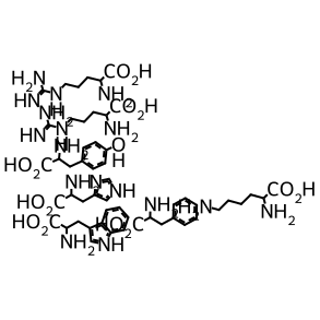 N=C(N)NCCCC(N)C(=O)O.N=C(N)NCCCC(N)C(=O)O.NC(Cc1c[nH]c2ccccc12)C(=O)O.NC(Cc1c[nH]cn1)C(=O)O.NC(Cc1ccc(O)cc1)C(=O)O.NC(Cc1ccccc1)C(=O)O.NCCCCC(N)C(=O)O